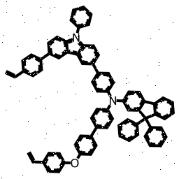 C=Cc1ccc(Oc2ccc(-c3ccc(N(c4ccc(-c5ccc6c(c5)c5cc(-c7ccc(C=C)cc7)ccc5n6-c5ccccc5)cc4)c4ccc5c(c4)C(c4ccccc4)(c4ccccc4)c4ccccc4-5)cc3)cc2)cc1